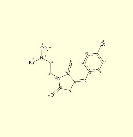 CCc1ccc(C=C2SC(=O)N(CCN(C(=O)O)C(C)(C)C)C2=O)cc1